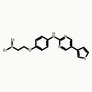 CCN(CC)CCOc1ccc(Nc2ncc(-c3ccsc3)cn2)cc1